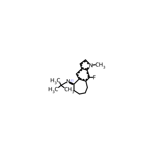 Cn1ccc2cc3c(c(F)c21)CCCC/C3=N\C(C)(C)C